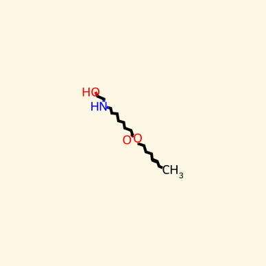 CCC=CCCCCOC(=O)CCCCCCCNCCO